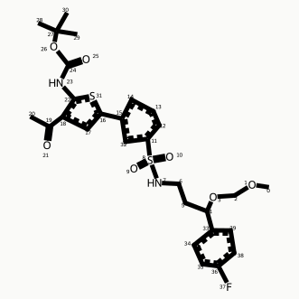 COCOC(CCNS(=O)(=O)c1cccc(-c2cc(C(C)=O)c(NC(=O)OC(C)(C)C)s2)c1)c1ccc(F)cc1